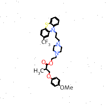 COc1ccc(OCC(C)C(=O)OCCN2CCN(CCCN3c4ccccc4Sc4ccc(C(F)(F)F)cc43)CC2)cc1